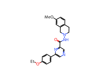 CCOc1ccc(-c2cncc(C(=O)NN3CCc4ccc(OC)cc4C3)n2)cc1